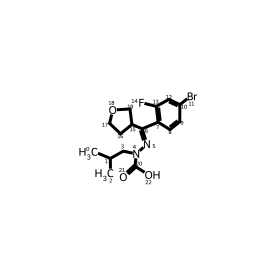 CC(C)CN(N=C(c1ccc(Br)cc1F)C1CCOC1)C(=O)O